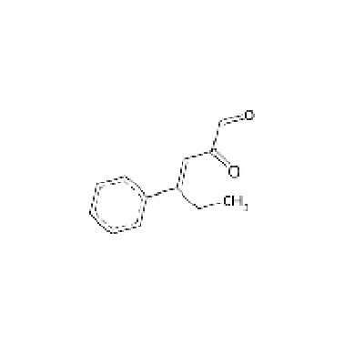 CCC(=CC(=O)C=O)c1ccccc1